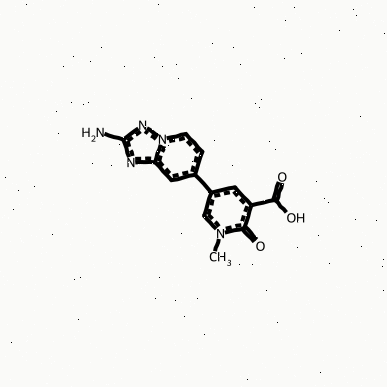 Cn1cc(-c2ccn3nc(N)nc3c2)cc(C(=O)O)c1=O